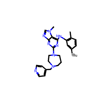 Cc1ccc(C(C)(C)C)cc1Nc1nc(N2CCCN(Cc3ccncc3)CC2)nc2ncn(C)c12